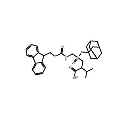 CC(C)C(CP(=O)(CNC(=O)OCC1c2ccccc2-c2ccccc21)OC12CC3CC(CC(C3)C1)C2)C(=O)O